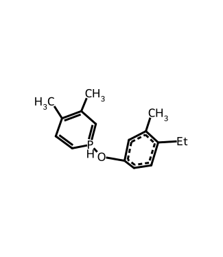 CCc1ccc(O[PH]2=CC(C)=C(C)C=C2)cc1C